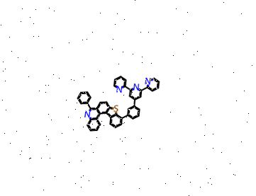 c1ccc(-c2nc3ccccc3c3c2ccc2sc4c(-c5cccc(-c6cc(-c7ccccn7)nc(-c7ccccn7)c6)c5)cccc4c23)cc1